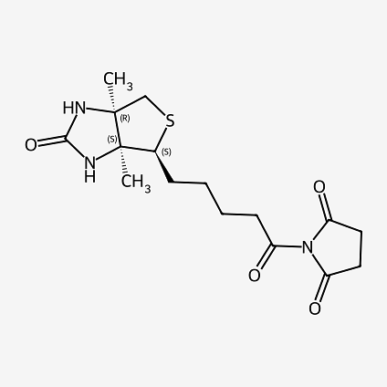 C[C@]12CS[C@@H](CCCCC(=O)N3C(=O)CCC3=O)[C@@]1(C)NC(=O)N2